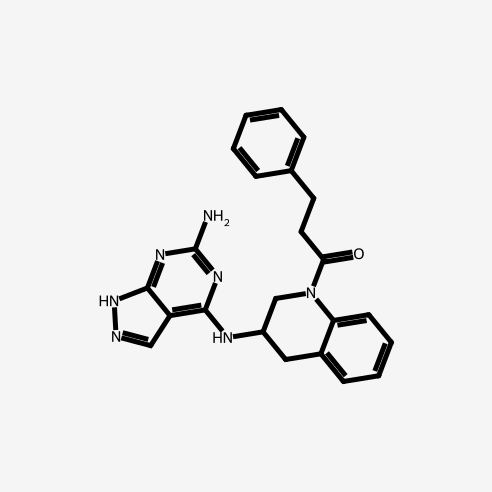 Nc1nc(NC2Cc3ccccc3N(C(=O)CCc3ccccc3)C2)c2cn[nH]c2n1